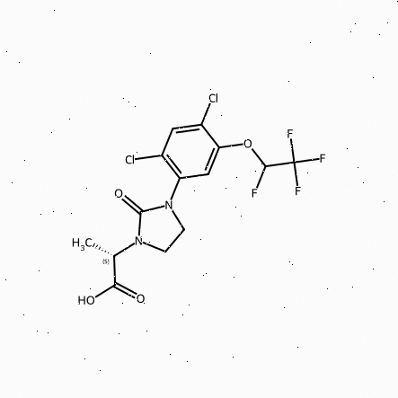 C[C@@H](C(=O)O)N1CCN(c2cc(OC(F)C(F)(F)F)c(Cl)cc2Cl)C1=O